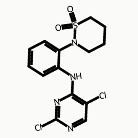 O=S1(=O)CCCCN1c1ccccc1Nc1nc(Cl)ncc1Cl